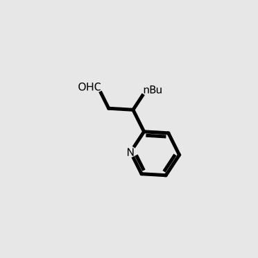 CCCCC(CC=O)c1ccccn1